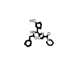 O=C(Cc1ccccc1)NC(c1cccc(O)c1)c1nc(C(=O)N2CCCCC2)co1